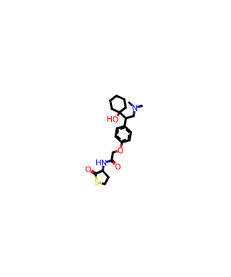 CN(C)CC(c1ccc(OCC(=O)NC2CCSC2=O)cc1)C1(O)CCCCC1